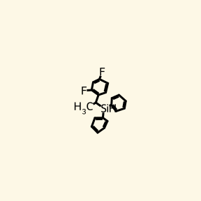 CC(c1ccc(F)cc1F)[SiH](c1ccccc1)c1ccccc1